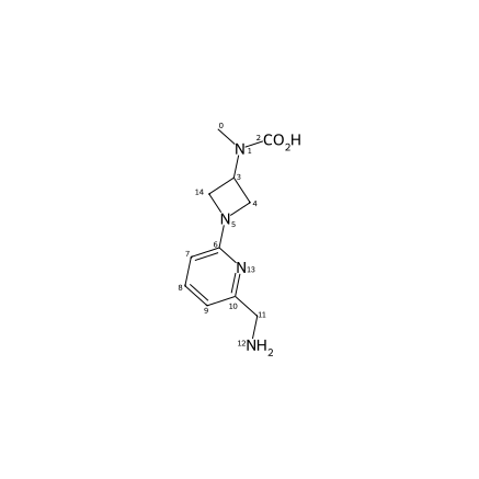 CN(C(=O)O)C1CN(c2cccc(CN)n2)C1